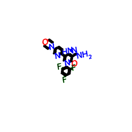 Nc1n[nH]c2c(-c3ccc(N4CCOCC4)cn3)cn(-c3c(F)cc(F)cc3F)c(=O)c12